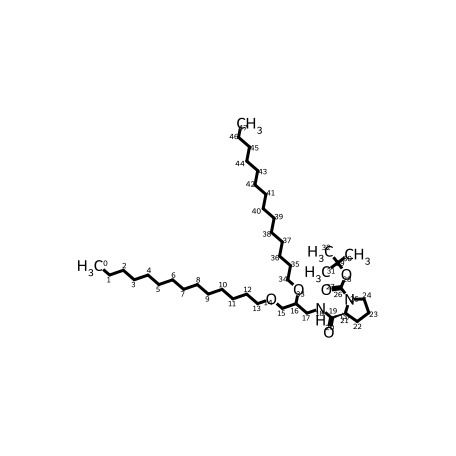 CCCCCCCCCCCCCCOCC(CNC(=O)[C@@H]1CCCN1C(=O)OC(C)(C)C)OCCCCCCCCCCCCCC